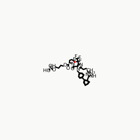 CCCc1nc(C(F)(F)C(F)(F)F)c(C(=O)N2CCC[C@H]2C(=O)OCCCCON(O)O)n1Cc1ccc(-c2ccccc2-c2nnn[nH]2)cc1